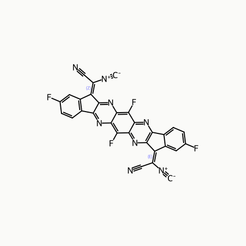 [C-]#[N+]/C(C#N)=C1/c2cc(F)ccc2-c2nc3c(F)c4nc5c(nc4c(F)c3nc21)-c1ccc(F)cc1/C5=C(/C#N)[N+]#[C-]